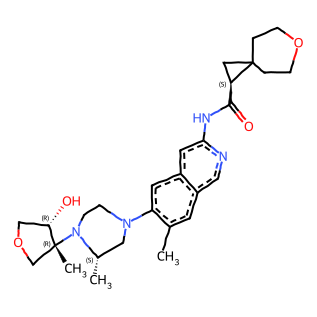 Cc1cc2cnc(NC(=O)[C@H]3CC34CCOCC4)cc2cc1N1CCN([C@]2(C)COC[C@@H]2O)[C@@H](C)C1